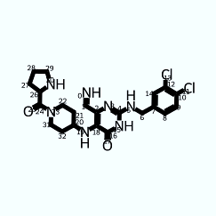 N=Cc1nc(NCc2ccc(Cl)c(Cl)c2)[nH]c(=O)c1NC1CCN(C(=O)C2CCCN2)CC1